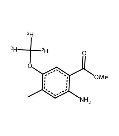 [2H]C([2H])([2H])Oc1cc(C(=O)OC)c(N)cc1C